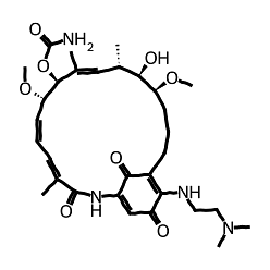 CO[C@H]1/C=C\C=C(/C)C(=O)NC2=CC(=O)C(NCCN(C)C)=C(CCC[C@H](OC)[C@H](O)[C@@H](C)/C=C(\C)[C@@H]1OC(N)=O)C2=O